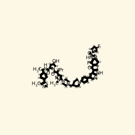 Cc1ncsc1-c1ccc([C@H](C)NC(=O)[C@@H]2C[C@@H](O)CN2C(=O)C(c2cc(N3CCN(CC4CCN(c5ccc(-c6cnc7[nH]cc(C(=O)c8c(F)ccc(NS(=O)(=O)N9CC[C@@H](F)C9)c8F)c7c6)cc5)CC4)CC3)n(C)n2)C(C)C)cc1